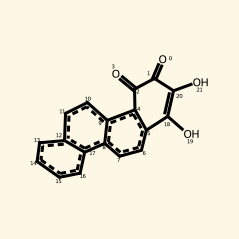 O=C1C(=O)c2c(ccc3c2ccc2ccccc23)C(O)=C1O